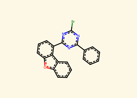 Brc1nc(-c2ccccc2)nc(-c2cccc3oc4ccccc4c23)n1